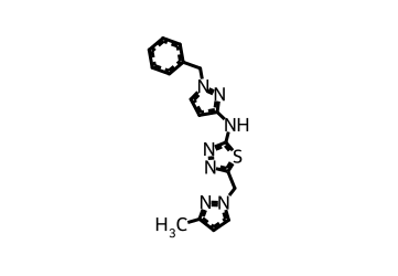 Cc1ccn(Cc2nnc(Nc3ccn(Cc4ccccc4)n3)s2)n1